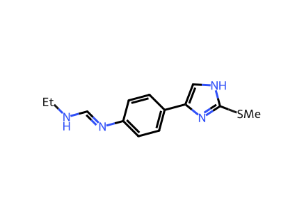 CCNC=Nc1ccc(-c2c[nH]c(SC)n2)cc1